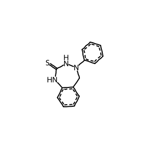 S=C1Nc2ccccc2CN(c2ccccc2)N1